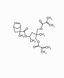 C=C(C)C(=O)OCC(C)(COC(=O)C(=C)C)CC(C)OC(=O)C1(C)CC2C=CC1C2